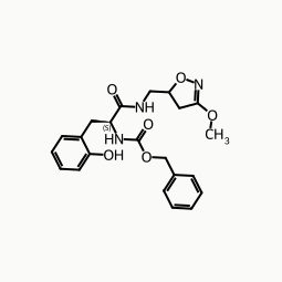 COC1=NOC(CNC(=O)[C@H](Cc2ccccc2O)NC(=O)OCc2ccccc2)C1